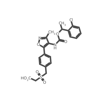 Cc1noc(-c2ccc(CS(=O)(=O)CC(=O)O)cc2)c1NC(=O)OC(C)c1ccccc1Cl